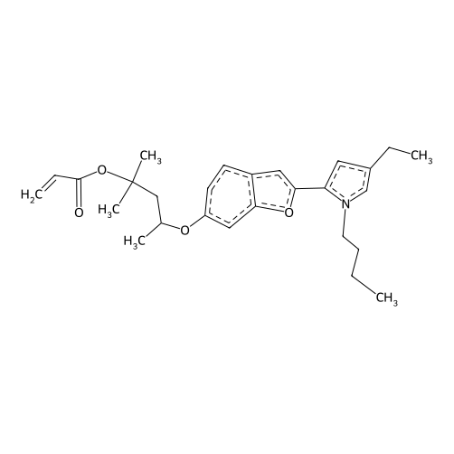 C=CC(=O)OC(C)(C)CC(C)Oc1ccc2cc(-c3cc(CC)cn3CCCC)oc2c1